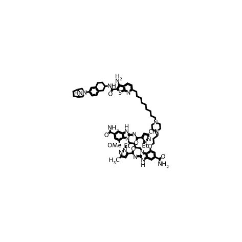 CCn1nc(C)cc1C(=O)/N=c1/[nH]c2cc(C(N)=O)cc(OC)c2n1CCCCn1/c(=N\C(=O)c2cc(C)nn2CC)[nH]c2cc(C(N)=O)cc(OCCCN3CCN(CCCCCCCCCc4ccc5c(N)c(C(=O)NC6CCc7cc(N8CC9CCC(C8)N9)ccc7C6)sc5n4)CC3)c21